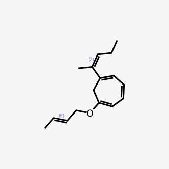 C/C=C/COC1=CC=CC=C(/C(C)=C\CC)C1